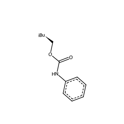 CC[C@H](C)COC(=O)Nc1ccccc1